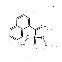 C=C(c1cccc2ccccc12)P(=O)(OC)OC